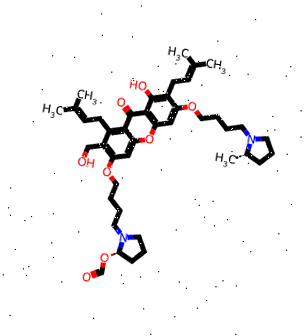 CC(C)=CCc1c(OCCCCN2CCC[C@@H]2C)cc2oc3cc(OCCCCN4CCC[C@@H]4OC=O)c(CO)c(CC=C(C)C)c3c(=O)c2c1O